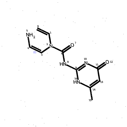 C=CN(/C=C\N)C(=O)Nc1nc(=O)cc(C)[nH]1